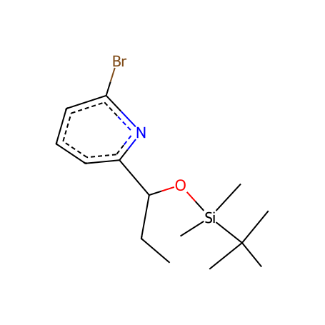 CCC(O[Si](C)(C)C(C)(C)C)c1cccc(Br)n1